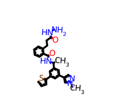 CC(NC(=O)c1ccccc1CCC(=O)NN)c1cc(-c2cnn(C)c2)cc(-c2cccs2)c1